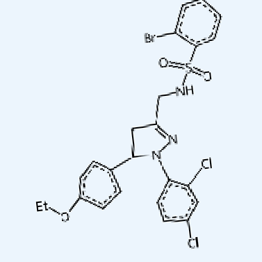 CCOc1ccc(C2CC(CNS(=O)(=O)c3ccccc3Br)=NN2c2ccc(Cl)cc2Cl)cc1